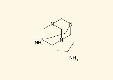 C1N2CN3CN1CN(C2)C3.CCC.N.N